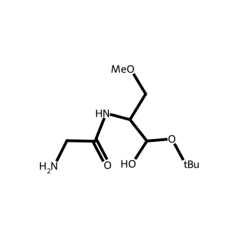 COCC(NC(=O)CN)C(O)OC(C)(C)C